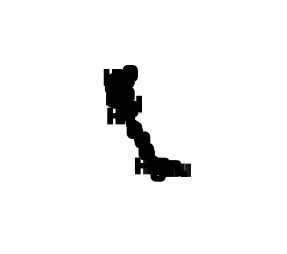 CC(C)(C)OC(=O)NCCCOCCOCCOCCCNC(=O)CNc1cccc2c1C(=O)N(C1CCC(=O)NC1=O)C2=O